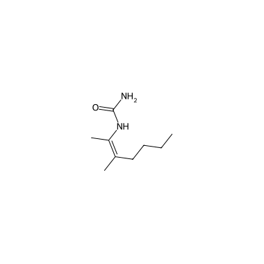 CCCCC(C)=C(C)NC(N)=O